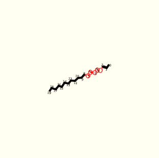 CC=COOOOOCCCCCCCCCCCC